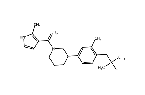 C=C(c1cc[nH]c1C)N1CCCC(c2ccc(CC(C)(C)F)c(C)c2)C1